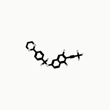 Fc1cc2cc(OC(F)(F)c3ccc(C4OCCCO4)cc3)ccc2c(F)c1C#CC(F)(F)F